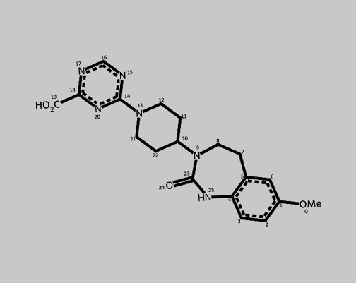 COc1ccc2c(c1)CCN(C1CCN(c3ncnc(C(=O)O)n3)CC1)C(=O)N2